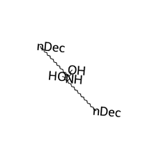 CCCCCCCCCCCCCCCCCCCCCCCCCCCC(CCO)NC(CCO)CCCCCCCCCCCCCCCCCCCCCCCCCCC